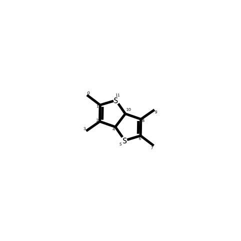 CC1=C(C)C2SC(C)=C(C)C2S1